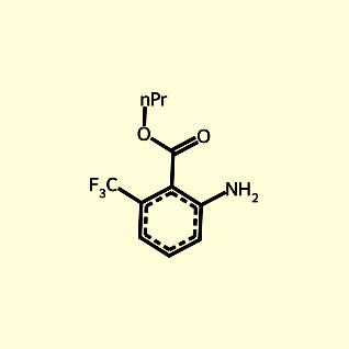 CCCOC(=O)c1c(N)cccc1C(F)(F)F